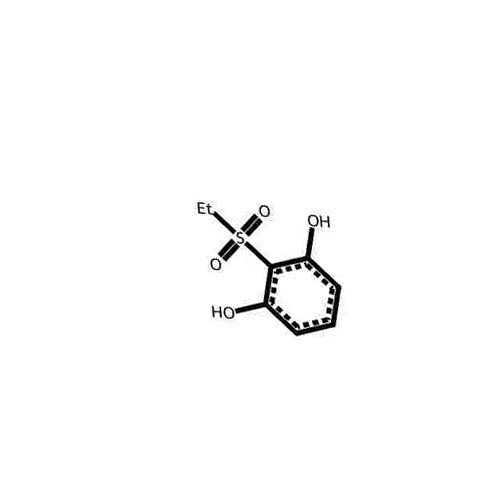 CCS(=O)(=O)c1c(O)cccc1O